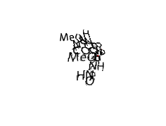 COc1nc(-c2cccc(-c3cccc4c3CC[C@@H]4Nc3nc(OC)c(CN4CC(C)(C(=O)O)C4)cc3C(F)(F)F)c2Cl)ccc1CNC[C@@H]1CCC(=O)N1